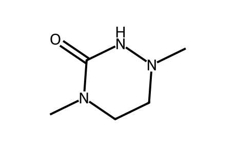 CN1CCN(C)C(=O)N1